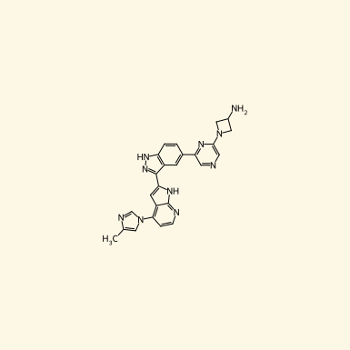 Cc1cn(-c2ccnc3[nH]c(-c4n[nH]c5ccc(-c6cncc(N7CC(N)C7)n6)cc45)cc23)cn1